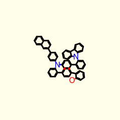 c1ccc(N(c2ccc(-c3ccc4ccccc4c3)cc2)c2ccc(-c3ccccc3-n3c4ccccc4c4ccccc43)cc2)c(-c2ccc3c(c2)oc2ccccc23)c1